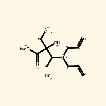 C=CCN(CC=C)C(C)C(O)(CN)C(=O)OC.Cl